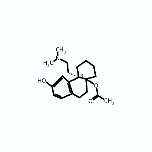 CC(=O)OC12CCCC[C@]1(CCN(C)C)c1cc(O)ccc1CC2